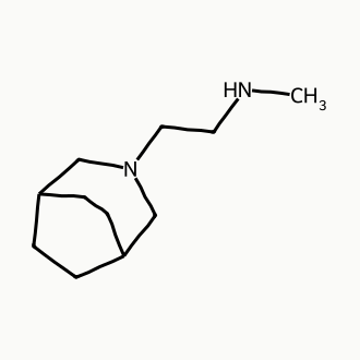 CNCCN1CC2CCC(CC2)C1